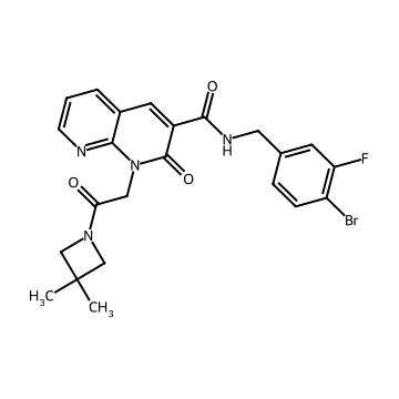 CC1(C)CN(C(=O)Cn2c(=O)c(C(=O)NCc3ccc(Br)c(F)c3)cc3cccnc32)C1